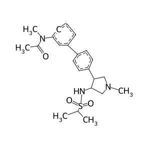 CC(=O)N(C)c1cccc(-c2ccc(C3CN(C)CC3NS(=O)(=O)C(C)C)cc2)c1